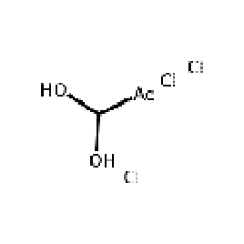 CC(=O)C(O)O.[C].[C].[C]